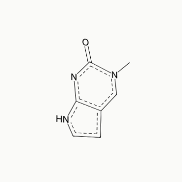 Cn1cc2cc[nH]c2nc1=O